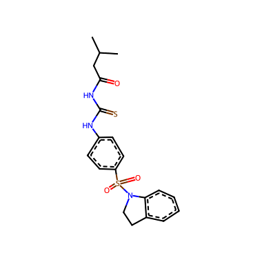 CC(C)CC(=O)NC(=S)Nc1ccc(S(=O)(=O)N2CCc3ccccc32)cc1